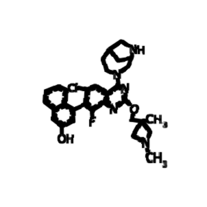 CN1CC(C)(COc2nc(N3CCC4CNC(C4)C3)c3cc(Cl)c(-c4cc(O)cc5ccccc45)c(F)c3n2)C1